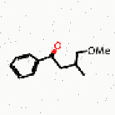 COCC(C)CC(=O)c1ccccc1